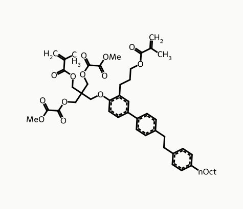 C=C(C)C(=O)OCCCc1cc(-c2ccc(CCc3ccc(CCCCCCCC)cc3)cc2)ccc1OCC(COC(=O)C(=C)C)(COC(=O)C(=O)OC)COC(=O)C(=O)OC